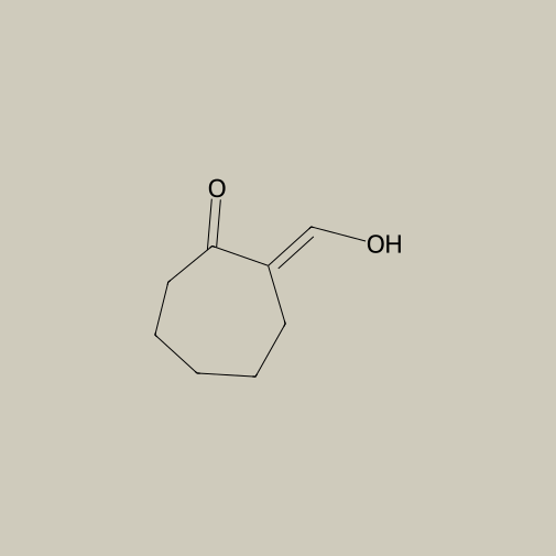 O=C1CCCCC/C1=C\O